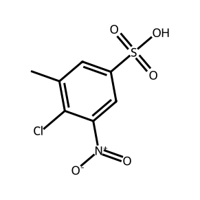 Cc1cc(S(=O)(=O)O)cc([N+](=O)[O-])c1Cl